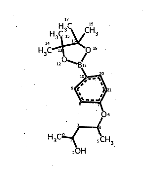 CC(O)CC(C)Oc1ccc(B2OC(C)(C)C(C)(C)O2)cc1